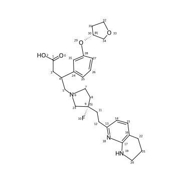 O=C(O)CC(CN1CC[C@@](F)(CCc2ccc3c(n2)NCCC3)C1)c1cccc(O[C@@H]2CCOC2)c1